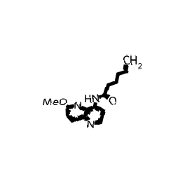 C=CCCCC(=O)Nc1ccnc2ccc(OC)nc12